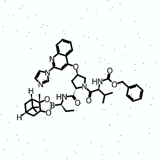 CC[C@H](NC(=O)[C@@H]1C[C@@H](Oc2cc(-n3ccnc3)nc3ccccc23)CN1C(=O)[C@@H](NC(=O)OCc1ccccc1)C(C)C)B1OC2C[C@@H]3C[C@@H](C3(C)C)[C@]2(C)O1